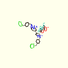 ClCc1ccc(C[n+]2ccc(-c3cc[n+](Cc4ccc(CCl)cc4)cc3)cc2)cc1.[O-]B(F)F.[O-]B(F)F